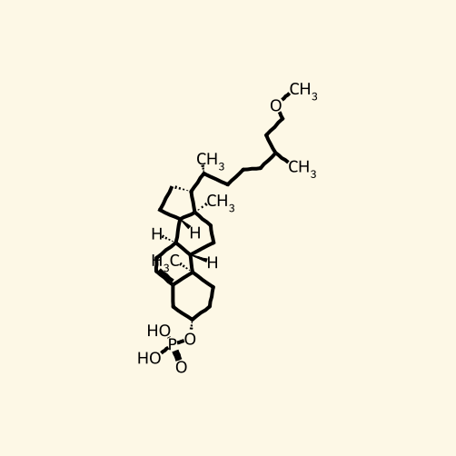 COCCC(C)CCC[C@@H](C)[C@H]1CC[C@H]2[C@@H]3CC=C4C[C@@H](OP(=O)(O)O)CC[C@]4(C)[C@H]3CC[C@]12C